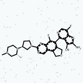 C[C@@H]1CN(C)CCN1[C@H]1CCN(c2ncc3c4c(c(-c5ncc(F)c6sc(N)c(C#N)c56)c(F)c3n2)COC4)C1